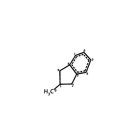 CC1[CH]c2ccccc2C1